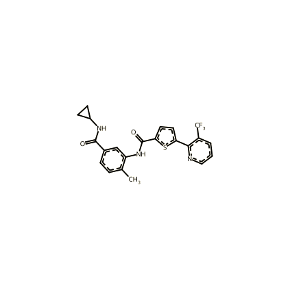 Cc1ccc(C(=O)NC2CC2)cc1NC(=O)c1ccc(-c2ncccc2C(F)(F)F)s1